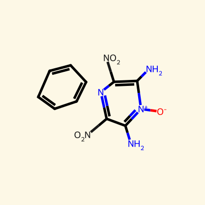 Nc1c([N+](=O)[O-])nc([N+](=O)[O-])c(N)[n+]1[O-].c1ccccc1